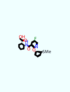 CSc1cccc(Oc2ncc(F)cc2C(=O)N[C@@H]2CCCC[C@@H]2C(=O)CO)c1